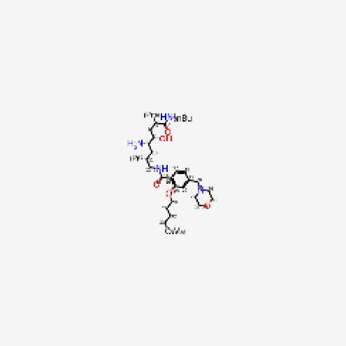 CCCCNC(=O)[C@@H](C[C@H](O)[C@@H](N)C[C@H](CNC(=O)c1ccc(CN2CCOCC2)cc1OCCCCOC)C(C)C)C(C)C